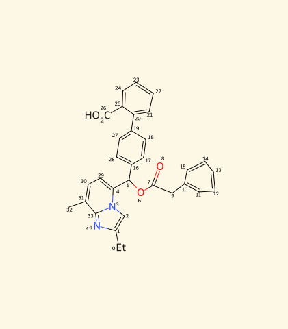 CCc1cn2c(C(OC(=O)Cc3ccccc3)c3ccc(-c4ccccc4C(=O)O)cc3)ccc(C)c2n1